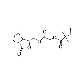 CCC(C)(C)C(=O)OCC(=O)OC[C@@H]1OC(=O)C2CCCC21